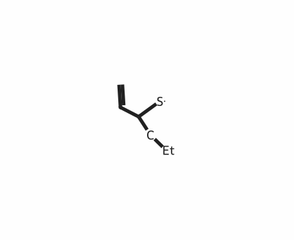 C=CC([S])CCC